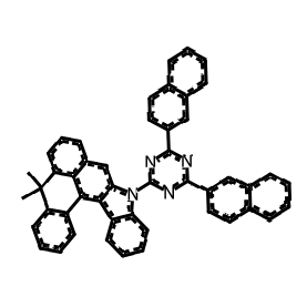 CC1(C)c2ccccc2-c2c3c1cccc3cc1c2c2ccccc2n1-c1nc(-c2ccc3ccccc3c2)nc(-c2ccc3ccccc3c2)n1